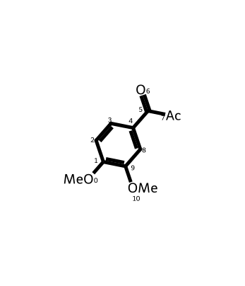 COc1ccc(C(=O)C(C)=O)cc1OC